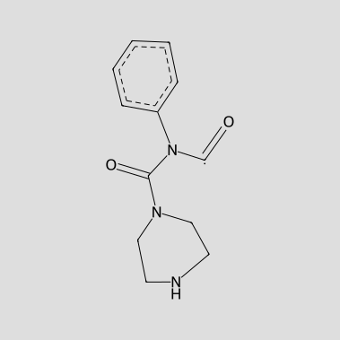 O=[C]N(C(=O)N1CCNCC1)c1ccccc1